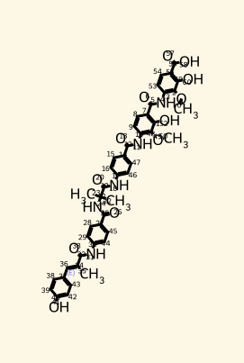 COc1c(NC(=O)c2ccc(NC(=O)c3ccc(NC(=O)C(C)(C)NC(=O)c4ccc(NC(=O)/C(C)=C/c5ccc(O)cc5)cc4)cc3)c(OC)c2O)ccc(C(=O)O)c1O